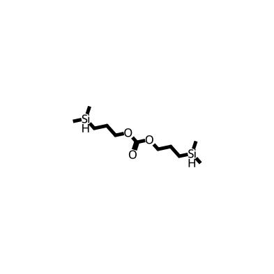 C[SiH](C)CCCOC(=O)OCCC[SiH](C)C